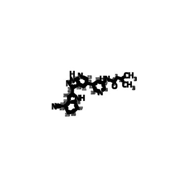 CC(C)CC(=O)Nc1cncc(-c2cnc3[nH]nc(-c4cc5c(C#N)cccc5[nH]4)c3c2)c1